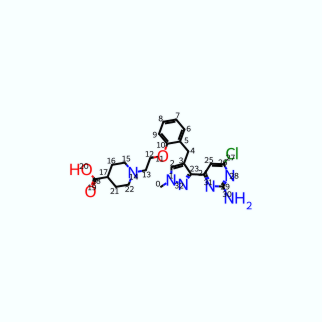 Cn1cc(Cc2ccccc2OCCN2CCC(C(=O)O)CC2)c(-c2cc(Cl)nc(N)n2)n1